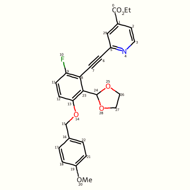 CCOC(=O)c1ccnc(C#Cc2c(F)ccc(OCc3ccc(OC)cc3)c2C2OCCO2)c1